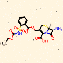 CCOC(=O)NS(=O)(=O)c1ccccc1C(=O)OCC1=C(C(=O)O)N2C(=O)[C@@H](N)[C@@H]2SC1